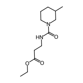 CCOC(=O)CCNC(=O)N1CCCC(C)C1